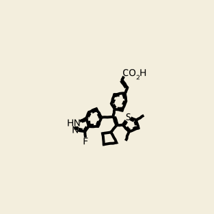 Cc1cc(C)c(C(=C(c2ccc(C=CC(=O)O)cc2)c2ccc3[nH]nc(F)c3c2)C2CCC2)s1